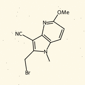 COc1ccc2c(n1)c(C#N)c(CBr)n2C